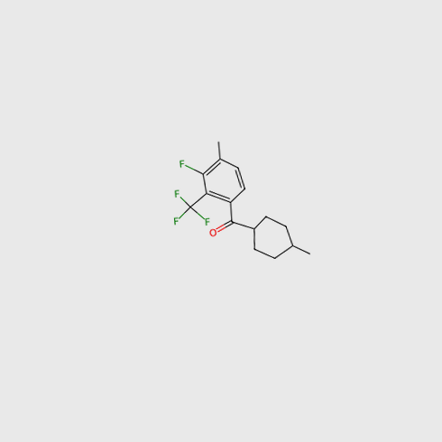 Cc1ccc(C(=O)C2CCC(C)CC2)c(C(F)(F)F)c1F